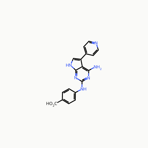 Nc1nc(Nc2ccc(C(=O)O)cc2)nc2[nH]cc(-c3ccncc3)c12